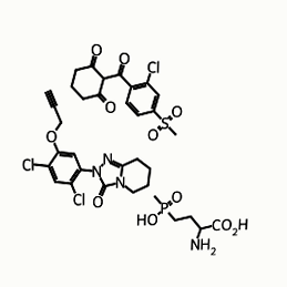 C#CCOc1cc(-n2nc3n(c2=O)CCCC3)c(Cl)cc1Cl.CP(=O)(O)CCC(N)C(=O)O.CS(=O)(=O)c1ccc(C(=O)C2C(=O)CCCC2=O)c(Cl)c1